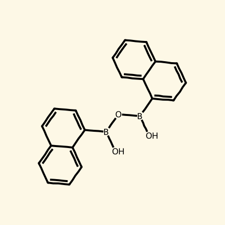 OB(OB(O)c1cccc2ccccc12)c1cccc2ccccc12